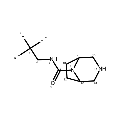 O=C(NCC(F)(F)F)N1C2CCC1CNC2